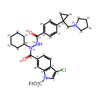 CCOC(=O)n1cc(Cl)c2ccc(C(=O)N(NC(=O)c3ccc(C4(CN5CCCC5)CC4)cc3)C3CCCCC3)cc21